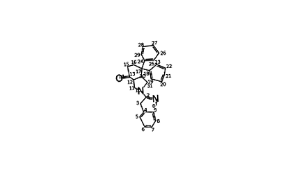 CN=C(Cc1ccccc1)N1CC2C(=O)CCC(c3ccccc3)(c3ccccc3)C2C1